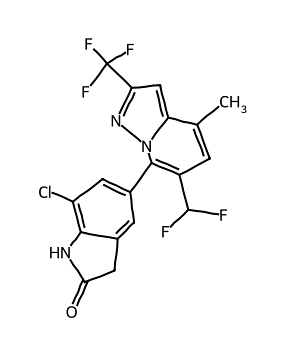 Cc1cc(C(F)F)c(-c2cc(Cl)c3c(c2)CC(=O)N3)n2nc(C(F)(F)F)cc12